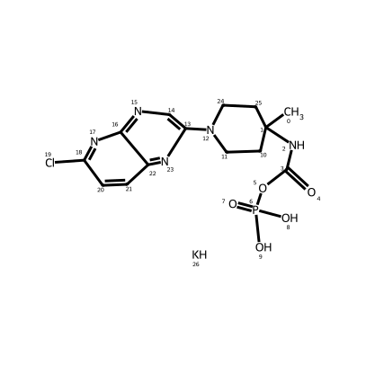 CC1(NC(=O)OP(=O)(O)O)CCN(c2cnc3nc(Cl)ccc3n2)CC1.[KH]